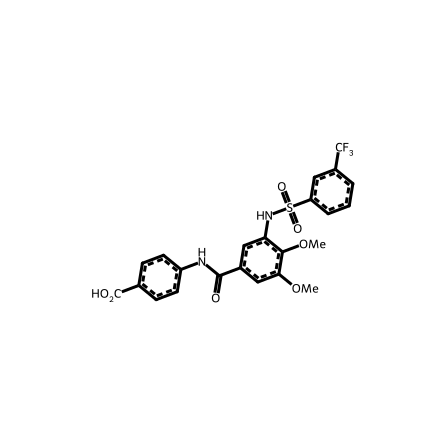 COc1cc(C(=O)Nc2ccc(C(=O)O)cc2)cc(NS(=O)(=O)c2cccc(C(F)(F)F)c2)c1OC